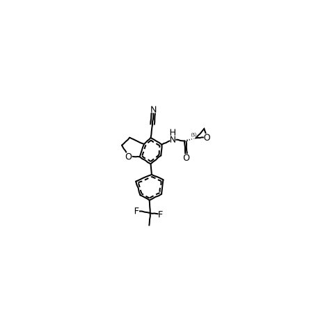 CC(F)(F)c1ccc(-c2cc(NC(=O)[C@@H]3CO3)c(C#N)c3c2OCC3)cc1